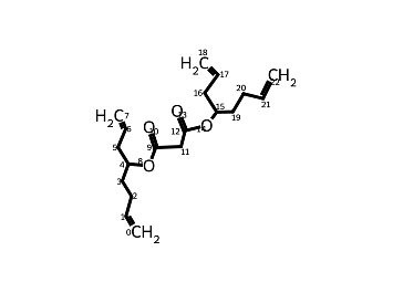 C=CCCC(CC=C)OC(=O)CC(=O)OC(CC=C)CCC=C